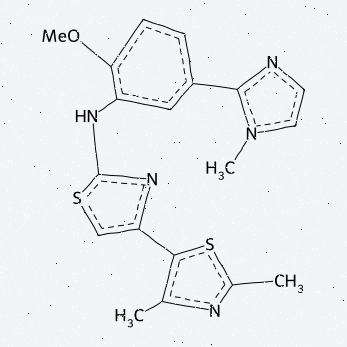 COc1ccc(-c2nccn2C)cc1Nc1nc(-c2sc(C)nc2C)cs1